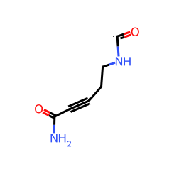 NC(=O)C#CCCN[C]=O